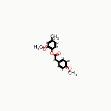 COc1ccc(CC(=O)Oc2ccc(C)cc2OC)cc1